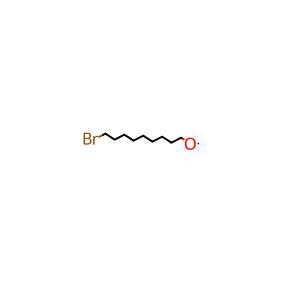 [O]CCCCCCCCCBr